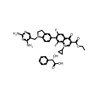 CCOC(=O)c1cn(C2CC2)c2c(F)c(-c3ccc4c(c3)CCN4Cc3cnc(N)nc3N)c(F)cc2c1=O.O=C(O)[C@@H](O)c1ccccc1